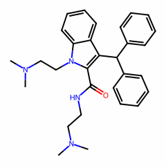 CN(C)CCNC(=O)c1c(C(c2ccccc2)c2ccccc2)c2ccccc2n1CCN(C)C